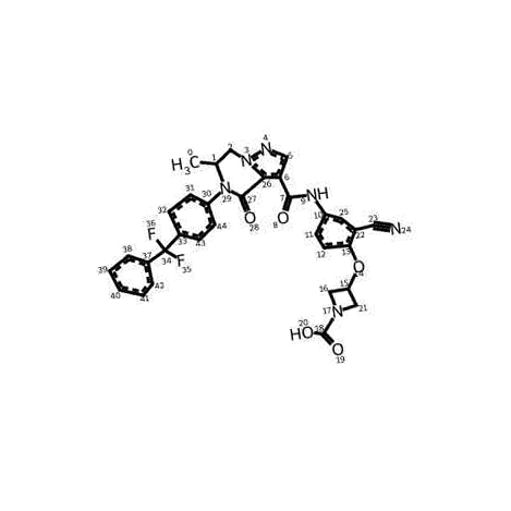 CC1Cn2ncc(C(=O)Nc3ccc(OC4CN(C(=O)O)C4)c(C#N)c3)c2C(=O)N1c1ccc(C(F)(F)c2ccccc2)cc1